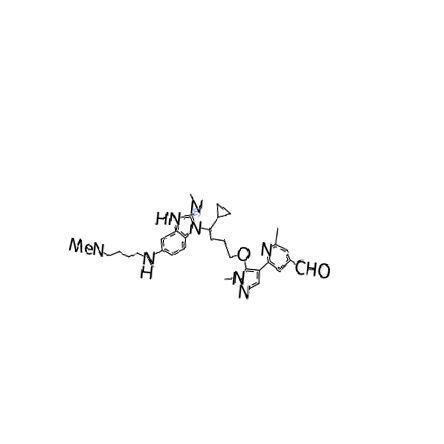 C/N=c1\[nH]c2cc(NCCCCNC)ccc2n1C(CCCOc1c(-c2cc(C=O)cc(C)n2)cnn1C)C1CC1